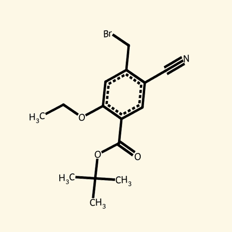 CCOc1cc(CBr)c(C#N)cc1C(=O)OC(C)(C)C